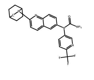 NC(=O)N(c1ccc(C(F)(F)F)nc1)c1ccc2nc(N3CC4CCC3CC4)ccc2c1